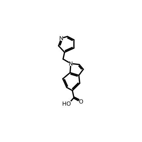 O=C(O)c1ccc2c(ccn2Cc2cccnc2)c1